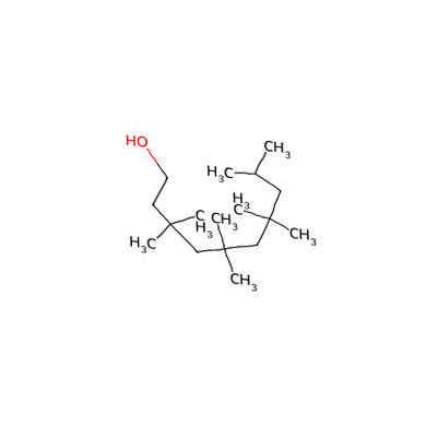 CC(C)CC(C)(C)CC(C)(C)CC(C)(C)CCO